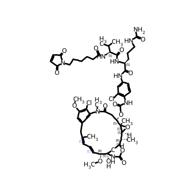 COc1cc2cc(c1Cl)N(C)C(=O)C[C@H](OC(=O)Nc1ccc(NC(=O)[C@H](CCCNC(N)=O)NC(=O)[C@@H](NC(=O)CCCCCN3C(=O)C=CC3=O)C(C)C)cc1Cl)[C@]1(C)O[C@H]1[C@H](C)[C@@H]1C[C@@](O)(NC(=O)O1)[C@H](OC)/C=C/C=C(\C)C2